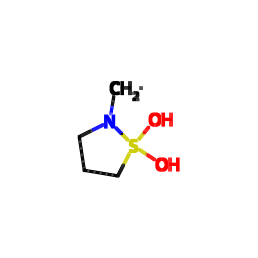 [CH2]N1CCCS1(O)O